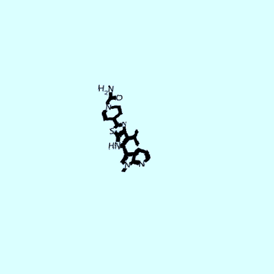 CC(C)c1c(-c2cn(C)c3ncccc23)[nH]c2sc(C3CCN(CC(N)=O)CC3)nc12